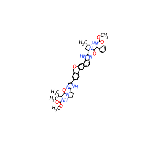 COC(=O)N[C@H](C(=O)N1CCC[C@H]1c1ncc(-c2ccc3c(c2)COc2cc4c(ccc5nc([C@@H]6C[C@H](C)CN6C(=O)[C@H](NC(=O)OC)C6C=CC=CC6)[nH]c54)cc2-3)[nH]1)C(C)C